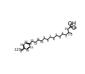 CC(CCCCCCCCCCCCc1ccc([123I])cc1)CC(=O)O